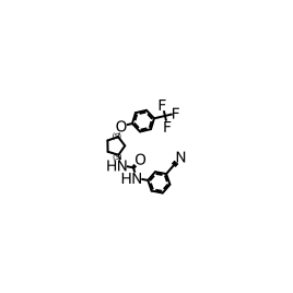 N#Cc1cccc(NC(=O)N[C@H]2CC[C@H](Oc3ccc(C(F)(F)F)cc3)C2)c1